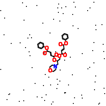 O=C(/C=C/C(=O)Oc1ccccc1)OCC(CN1CCOCC1)OC(=O)/C=C/C(=O)Oc1ccccc1